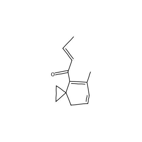 CC=CC(=O)C1=C(C)C=CCC12CC2